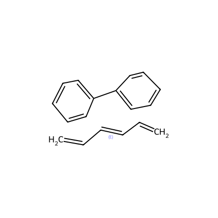 C=C/C=C/C=C.c1ccc(-c2ccccc2)cc1